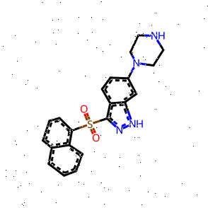 O=S(=O)(c1cccc2ccccc12)c1n[nH]c2cc(N3CCNCC3)ccc12